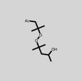 CC(=O)CC(C)(C)OOC(C)(C)CC(C)O